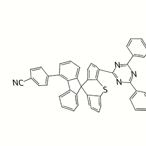 N#Cc1ccc(-c2cccc3c2-c2ccccc2C32c3ccccc3Sc3c(-c4nc(-c5ccccc5)nc(-c5ccccc5)n4)cccc32)cc1